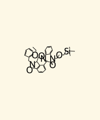 CCOC(=O)C1c2c(cccc2-c2nc3ccccc3n(COCC[Si](C)(C)C)c2=O)C(=O)N1Cc1ccccc1